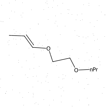 [CH2]CCOCCOC=CC